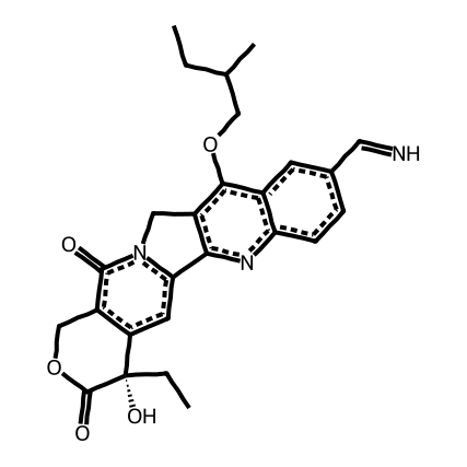 CCC(C)COc1c2c(nc3ccc(C=N)cc13)-c1cc3c(c(=O)n1C2)COC(=O)[C@]3(O)CC